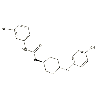 N#Cc1ccc(O[C@H]2CC[C@H](NC(=O)Nc3cccc(C#N)c3)CC2)cc1